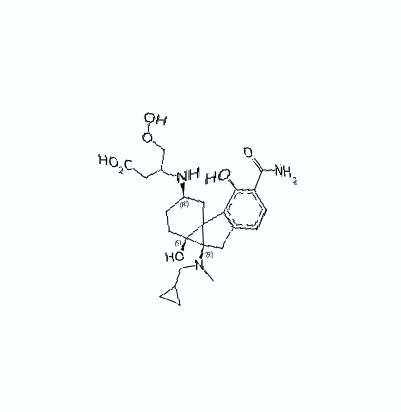 CN(CC1CC1)[C@]12Cc3ccc(C(N)=O)c(O)c3C13C[C@H](NC(COO)CC(=O)O)CC[C@]32O